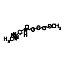 CCOCCOCCOCCOCCC(=O)NCc1ccc(-c2nnc(C)nn2)cc1